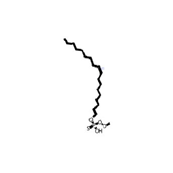 CCCCCCCC/C=C\CCCCCCCCOP(O)(=S)OOC